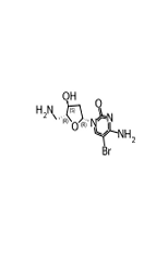 NC[C@H]1O[C@@H](n2cc(Br)c(N)nc2=O)C[C@@H]1O